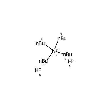 CCCC[N+](CCCC)(CCCC)CCCC.F.[H+]